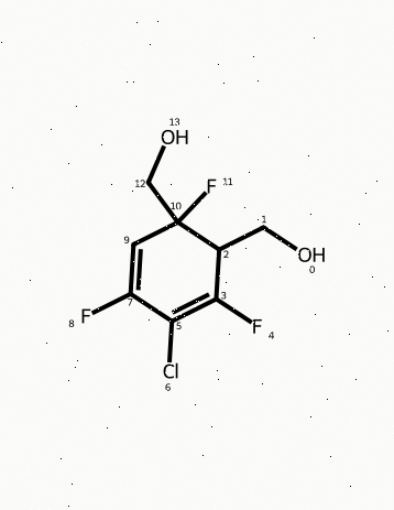 OCC1C(F)=C(Cl)C(F)=CC1(F)CO